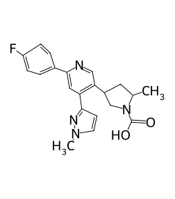 CC1CC(c2cnc(-c3ccc(F)cc3)cc2-c2ccn(C)n2)CN1C(=O)O